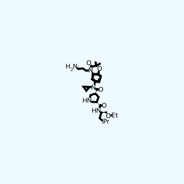 CCOC[C@@H](CC(C)C)NC(=O)[C@@H]1CNC[C@H](C(=O)N(c2ccc3c(c2)N(CCCN)C(=O)C(C)(C)O3)C2CC2)C1